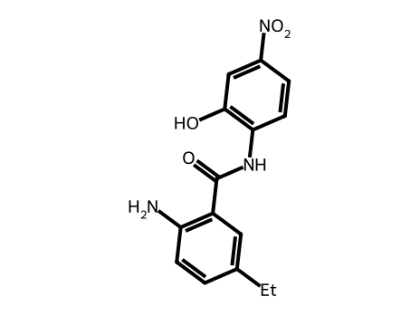 CCc1ccc(N)c(C(=O)Nc2ccc([N+](=O)[O-])cc2O)c1